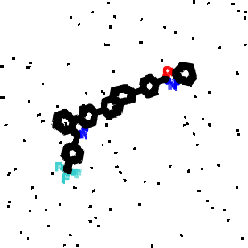 FC(F)(F)c1ccc(-c2nc3cc(-c4ccc5cc(-c6ccc(-c7nc8ccccc8o7)cc6)ccc5c4)ccc3c3ccccc23)cc1